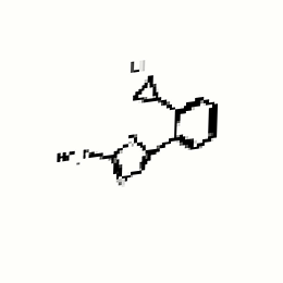 O=C(O)c1ncc(-c2ccccc2C2CC2)o1.[LiH]